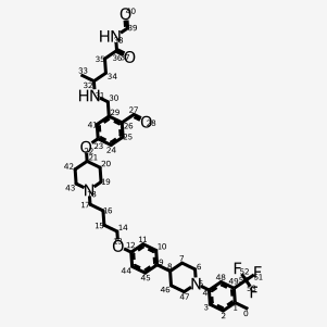 Cc1ccc(N2CCC(c3ccc(OCCCCN4CCC(Oc5ccc(C=O)c(CNC(C)CCC(=O)NC=O)c5)CC4)cc3)CC2)cc1C(F)(F)F